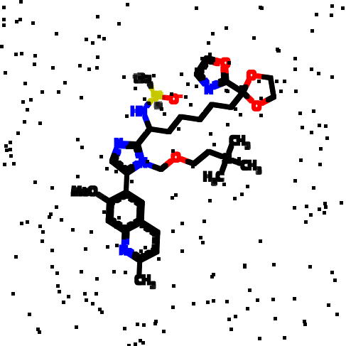 COc1cc2nc(C)ccc2cc1-c1cnc(C(CCCCCC2(c3ncco3)OCCO2)N[S@+]([O-])C(C)(C)C)n1COCC[Si](C)(C)C